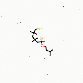 CC(C)CCOC(C)(S)CC(C)(C)CC(C)(C)CS